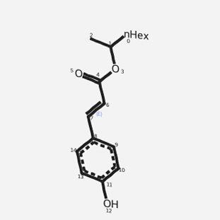 CCCCCCC(C)OC(=O)/C=C/c1ccc(O)cc1